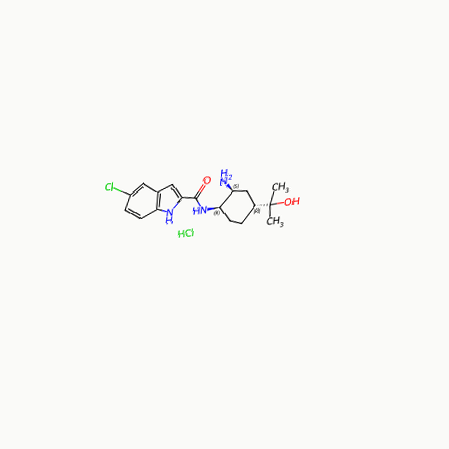 CC(C)(O)[C@@H]1CC[C@@H](NC(=O)c2cc3cc(Cl)ccc3[nH]2)[C@@H](N)C1.Cl